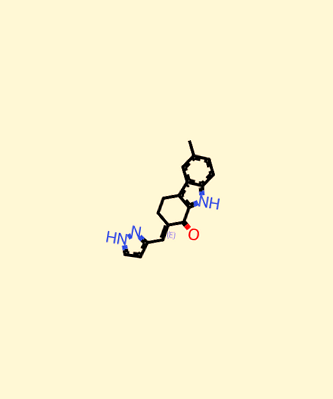 Cc1ccc2[nH]c3c(c2c1)CC/C(=C\c1cc[nH]n1)C3=O